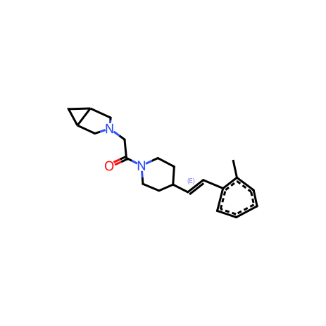 Cc1ccccc1/C=C/C1CCN(C(=O)CN2CC3CC3C2)CC1